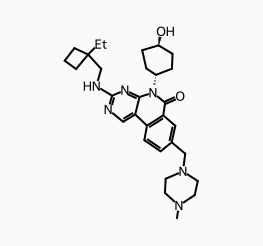 CCC1(CNc2ncc3c4ccc(CN5CCN(C)CC5)cc4c(=O)n([C@H]4CC[C@H](O)CC4)c3n2)CCC1